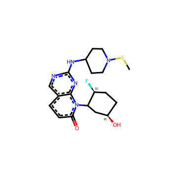 CSN1CCC(Nc2ncc3ccc(=O)n(C4C[C@H](O)CC[C@@H]4F)c3n2)CC1